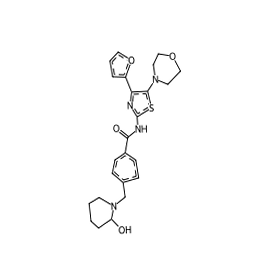 O=C(Nc1nc(-c2ccco2)c(N2CCOCC2)s1)c1ccc(CN2CCCCC2O)cc1